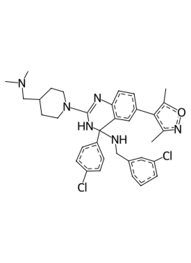 Cc1noc(C)c1-c1ccc2c(c1)C(NCc1cccc(Cl)c1)(c1ccc(Cl)cc1)NC(N1CCC(CN(C)C)CC1)=N2